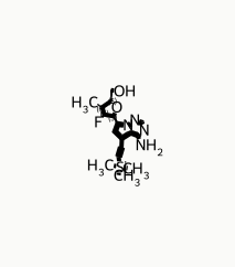 C[C@H]1[C@H](F)[C@H](c2cc(C#C[Si](C)(C)C)c3c(N)ncnn23)O[C@@H]1CO